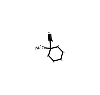 [C]#CC1(OC)CCCCC1